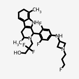 CC1=c2[nH]c3c(c2=CCC1)CC(C)N(CC(F)(F)CO)C3c1c(F)cc(NC2CN(CCCF)C2)cc1F